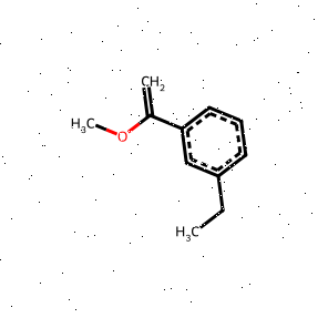 C=C(OC)c1cccc(CC)c1